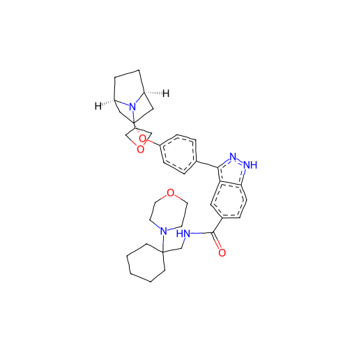 O=C(NCC1(N2CCOCC2)CCCCC1)c1ccc2[nH]nc(-c3ccc(O[C@@H]4C[C@H]5CC[C@@H](C4)N5C4COC4)cc3)c2c1